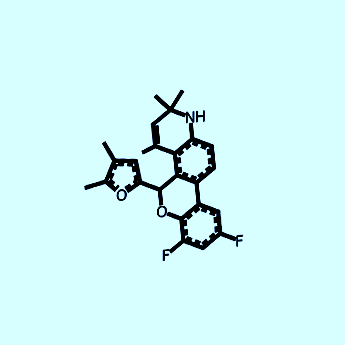 CC1=CC(C)(C)Nc2ccc3c(c21)C(c1cc(C)c(C)o1)Oc1c(F)cc(F)cc1-3